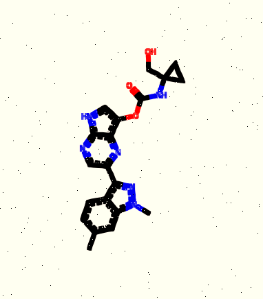 Cc1ccc2c(-c3cnc4[nH]cc(OC(=O)NC5(CO)CC5)c4n3)nn(C)c2c1